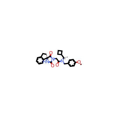 COc1ccc(CN(C(=O)CN2C(=O)N[C@]3(CCc4ccccc43)C2=O)[C@@H](C)C2CCC2)cc1